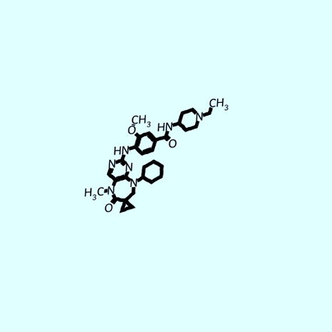 CCN1CCC(NC(=O)c2ccc(Nc3ncc4c(n3)N(C3CCCCC3)CC3(CC3)C(=O)N4C)c(OC)c2)CC1